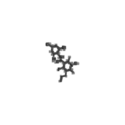 C=CCc1c(F)c(C(=O)Nc2c(CC)cc(Cl)cc2CC)c(C)[n+]([O-])c1C